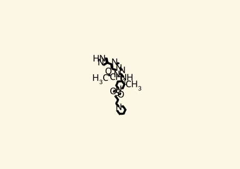 CC(C)Oc1c(-c2cn[nH]c2)ncn2nc(N[C@H]3CCN(S(=O)(=O)CCCN4CCCCC4)C[C@H]3C)nc12